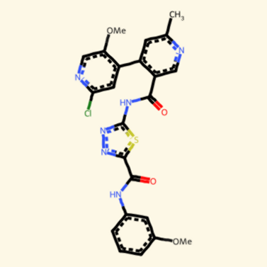 COc1cccc(NC(=O)c2nnc(NC(=O)c3cnc(C)cc3-c3cc(Cl)ncc3OC)s2)c1